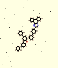 c1ccc(-c2ccc3oc4c(-c5cccc(-c6ccc(-c7cnc8c9ccccc9c9ccccc9c8n7)cc6)c5)cc(-c5ccccc5)cc4c3c2)cc1